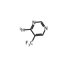 [2H]c1ncncc1C(F)(F)F